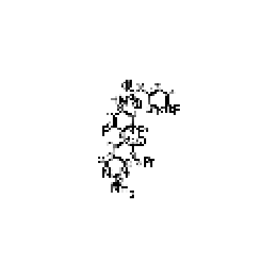 CC(C)n1c(=O)c(-c2c(F)cc(NS(=O)(=O)Cc3ccc(F)cc3)cc2F)cc2cnc(N)nc21